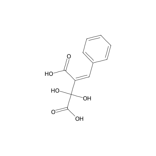 O=C(O)C(=Cc1ccccc1)C(O)(O)C(=O)O